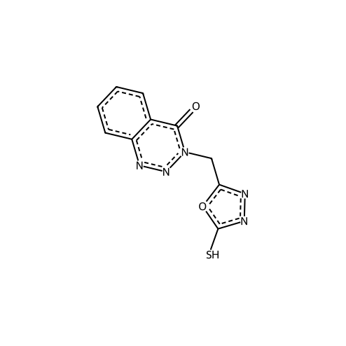 O=c1c2ccccc2nnn1Cc1nnc(S)o1